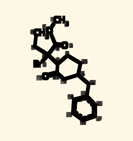 CCC(Br)(C(=O)OC)C1CCC(Cc2ccccc2)CC1=O